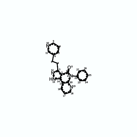 O=c1c2c(CCc3cccnc3)n[nH]c2c2cccnc2n1-c1ccccc1